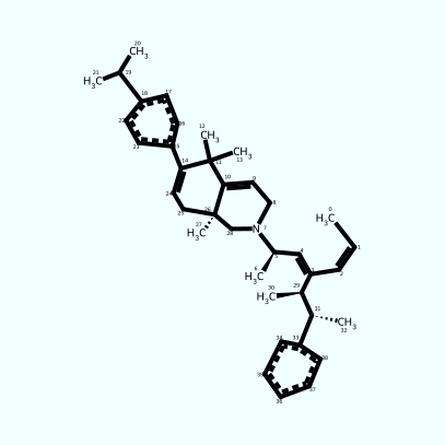 C/C=C\C(=C\[C@@H](C)N1CC=C2C(C)(C)C(c3ccc(C(C)C)cc3)=CC[C@]2(C)C1)[C@H](C)[C@H](C)c1ccccc1